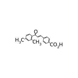 Cc1ccc(C(=O)C=Cc2ccc(C(=O)O)cc2)c(C)c1